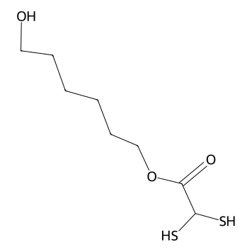 O=C(OCCCCCCO)C(S)S